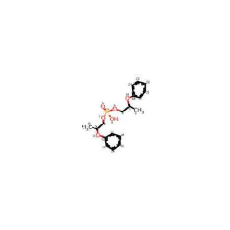 CC(COP(=O)(O)OCC(C)Oc1ccccc1)Oc1ccccc1